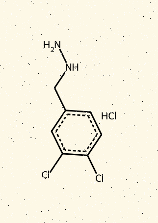 Cl.NNCc1ccc(Cl)c(Cl)c1